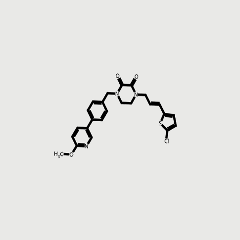 COc1ccc(-c2ccc(CN3CCN(C/C=C/c4ccc(Cl)s4)C(=O)C3=O)cc2)cn1